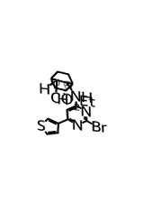 CCOC(=O)[C@@H]1C2CCC(CC2)[C@H]1Nc1cc(-c2ccsc2)nc(Br)n1